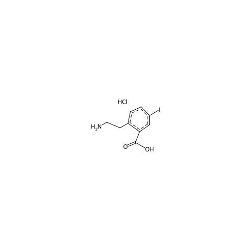 Cl.NCCc1ccc(I)cc1C(=O)O